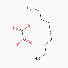 CCC[CH2][Sn+2][CH2]CCC.O=C([O-])C(=O)[O-]